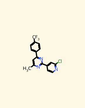 Cc1cc(-c2ccc(C(F)(F)F)cc2)nc(-c2ccnc(Cl)c2)n1